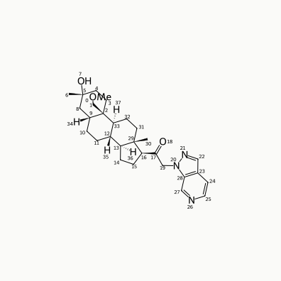 COC[C@]12CC[C@@](C)(O)C[C@H]1CC[C@H]1[C@@H]3CC[C@H](C(=O)Cn4ncc5ccncc54)[C@@]3(C)CC[C@@H]12